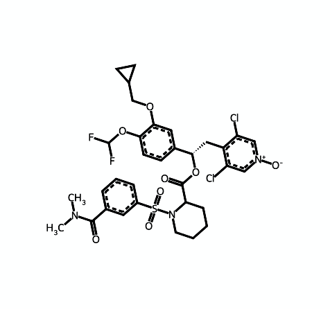 CN(C)C(=O)c1cccc(S(=O)(=O)N2CCCCC2C(=O)O[C@@H](Cc2c(Cl)c[n+]([O-])cc2Cl)c2ccc(OC(F)F)c(OCC3CC3)c2)c1